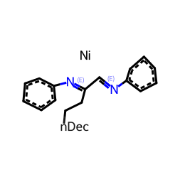 CCCCCCCCCCCCC(/C=N/c1ccccc1)=N\c1ccccc1.[Ni]